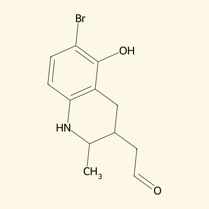 CC1Nc2ccc(Br)c(O)c2CC1CC=O